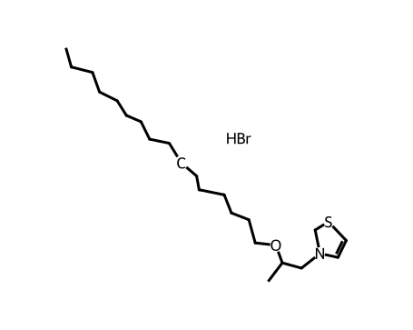 Br.CCCCCCCCCCCCCCCCOC(C)CN1C=CSC1